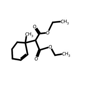 CCOC(=O)C(C(=O)OCC)C1(C)C=CCCC1